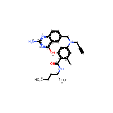 C#CCN(Cc1ccc2nc(N)nc(O)c2c1)c1ccc(C(=O)N[C@@H](CCC(=O)O)C(=O)O)c(C)c1